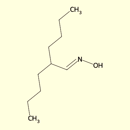 CCCCC(C=NO)CCCC